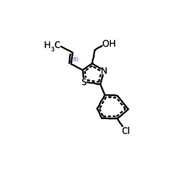 C/C=C/c1sc(-c2ccc(Cl)cc2)nc1CO